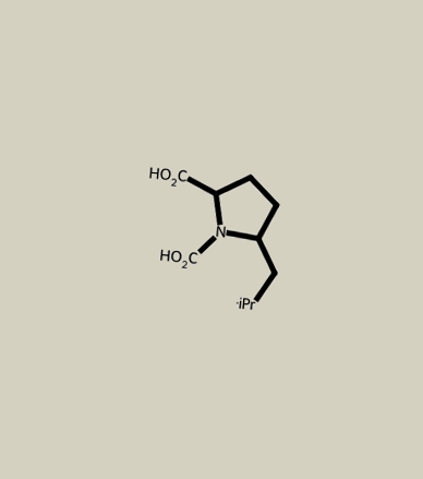 C[C](C)CC1CCC(C(=O)O)N1C(=O)O